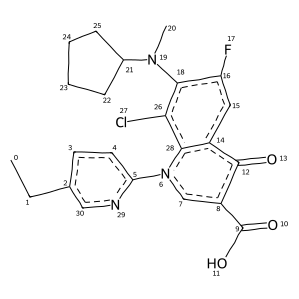 CCc1ccc(-n2cc(C(=O)O)c(=O)c3cc(F)c(N(C)C4CCCC4)c(Cl)c32)nc1